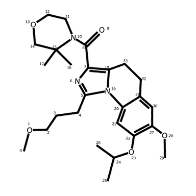 COCCCc1nc(C(=O)N2CCOCC2(C)C)c2n1-c1cc(OC(C)C)c(OC)cc1CC2